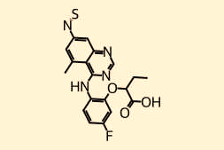 CCC(Oc1cc(F)ccc1Nc1ncnc2cc(N=S)cc(C)c12)C(=O)O